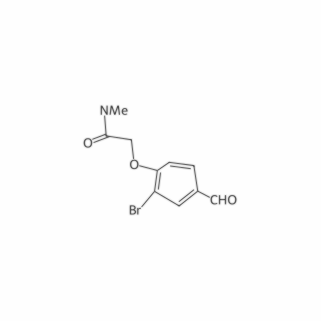 CNC(=O)COc1ccc(C=O)cc1Br